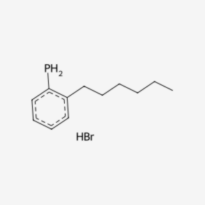 Br.CCCCCCc1ccccc1P